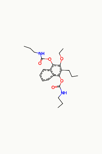 CCCNC(=O)Oc1c(CCC)c(OCC)c(OC(=O)NCCC)c2ccccc12